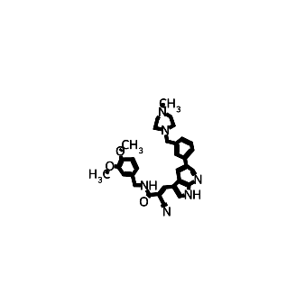 COc1ccc(CNC(=O)/C(C#N)=C/c2c[nH]c3ncc(-c4cccc(CN5CCN(C)CC5)c4)cc23)cc1OC